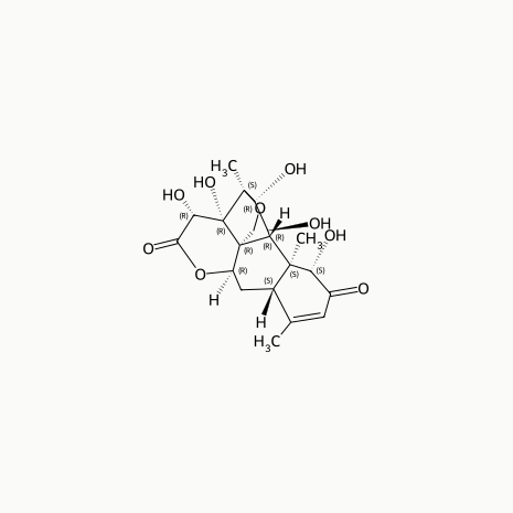 CC1=CC(=O)[C@@H](O)[C@]2(C)[C@H]3[C@@H](O)[C@@H](O)[C@]4(C)OC[C@@]35[C@@H](C[C@@H]12)OC(=O)[C@H](O)[C@]54O